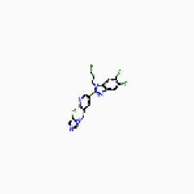 FCCCn1c(-c2cncc(Cn3cncc3Cl)c2)nc2cc(F)c(Br)cc21